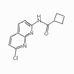 O=C(Nc1ccc2ccc(Cl)nc2n1)C1CCC1